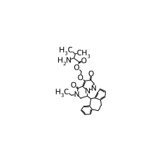 CCN1CC(C2c3ccccc3CCc3ccccc32)n2ncc(=O)c(OCOC(=O)C(N)C(C)C)c2C1=O